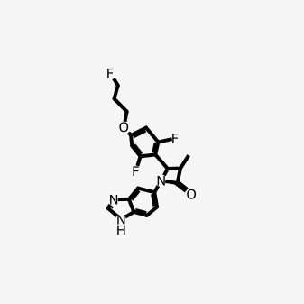 CC1C(=O)N(c2ccc3[nH]cnc3c2)C1c1c(F)cc(OCCCF)cc1F